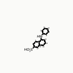 O=S(=O)(O)c1ccc2c(Nc3ccccc3)cccc2c1